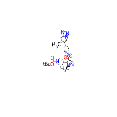 Cc1cc2ncnn2cc1C1CCN(S(=O)(=O)c2cnn(C)c2C2CCN(C(=O)OC(C)(C)C)CC2)CC1